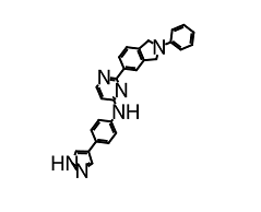 c1ccc(N2Cc3ccc(-c4nccc(Nc5ccc(-c6cn[nH]c6)cc5)n4)cc3C2)cc1